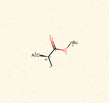 CCCCOC(=O)[C@@H](C)OC(C)=O